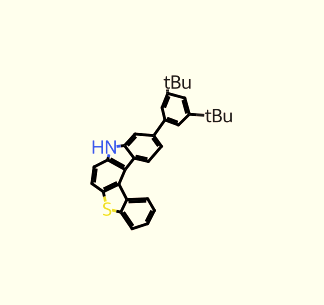 CC(C)(C)c1cc(-c2ccc3c(c2)[nH]c2ccc4sc5ccccc5c4c23)cc(C(C)(C)C)c1